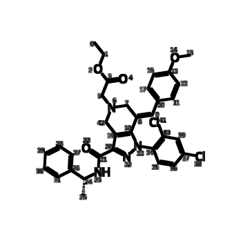 CCOC(=O)CN1CC(=Cc2ccc(OC)cc2)c2c(c(C(=O)N[C@H](C)c3ccccc3)nn2-c2ccc(Cl)cc2Cl)C1